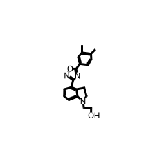 Cc1ccc(-c2nc(-c3cccc4c3CCN4CCO)no2)cc1C